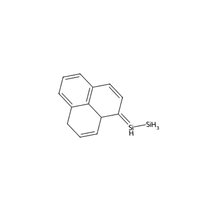 [SiH3][SiH]=C1C=Cc2cccc3c2C1C=CC3